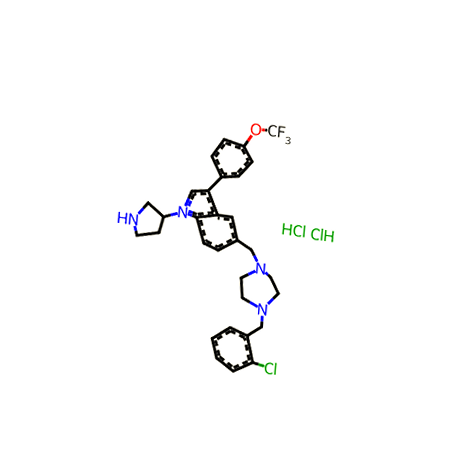 Cl.Cl.FC(F)(F)Oc1ccc(-c2cn(C3CCNC3)c3ccc(CN4CCN(Cc5ccccc5Cl)CC4)cc23)cc1